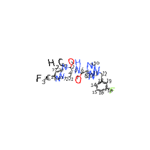 CN1C(=O)[C@H](NC(=O)c2ncn(Cc3cccc(F)c3)n2)CCn2nc(C(F)(F)F)cc21